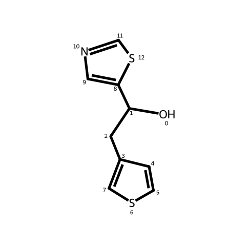 OC(Cc1ccsc1)c1cncs1